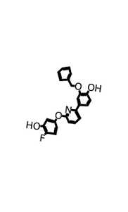 Oc1cc(Oc2cccc(-c3ccc(O)c(OCc4ccccc4)c3)n2)ccc1F